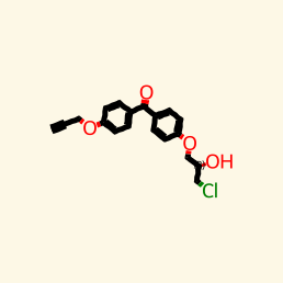 C#CCOc1ccc(C(=O)c2ccc(OC[C@@H](O)CCl)cc2)cc1